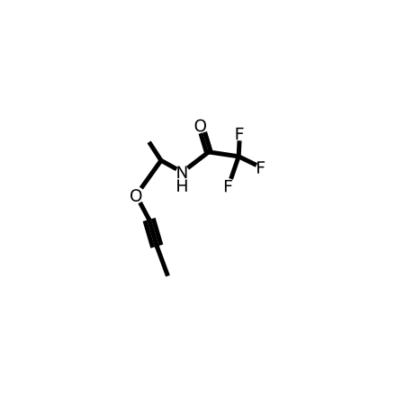 CC#COC(C)NC(=O)C(F)(F)F